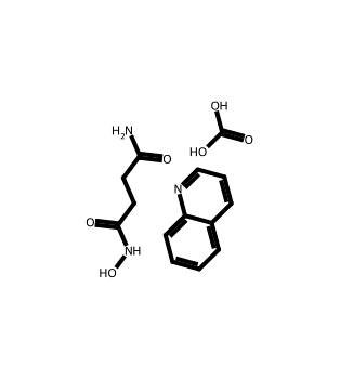 NC(=O)CCC(=O)NO.O=C(O)O.c1ccc2ncccc2c1